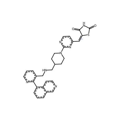 O=C1NC(=O)/C(=C\c2ccnc(N3CCC(CNCc4cccnc4-c4cccc5cnccc45)CC3)n2)S1